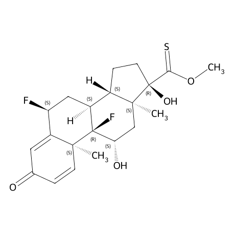 COC(=S)[C@@]1(O)CC[C@H]2[C@@H]3C[C@H](F)C4=CC(=O)C=C[C@]4(C)[C@@]3(F)[C@@H](O)C[C@@]21C